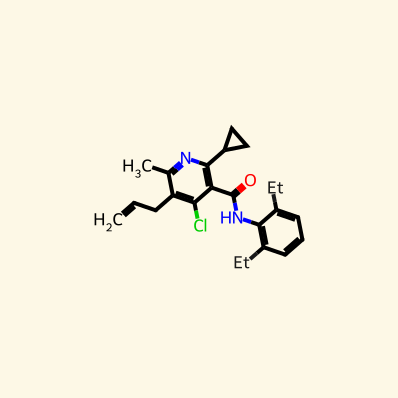 C=CCc1c(C)nc(C2CC2)c(C(=O)Nc2c(CC)cccc2CC)c1Cl